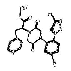 CC(C)(C)OC(=O)C(Cc1ccncc1)N1CC(=O)N(c2cc(Cl)ccc2-n2cc(Cl)nn2)CC1=O